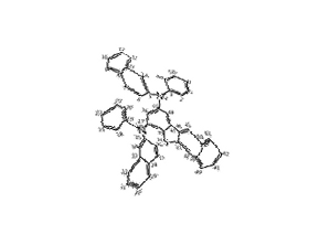 c1ccc(N(c2ccc3ccccc3c2)c2cc(N(c3ccccc3)c3ccc4ccccc4c3)c3sc4cc5ccccc5cc4c3c2)cc1